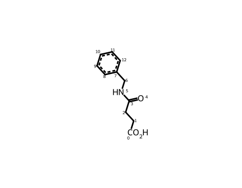 O=C(O)CCC(=O)NCc1ccccc1